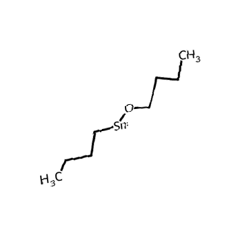 CCCC[O][Sn][CH2]CCC